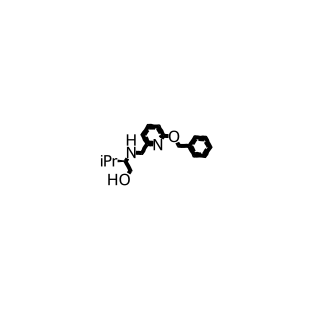 CC(C)[C@H](CO)NCc1cccc(OCc2ccccc2)n1